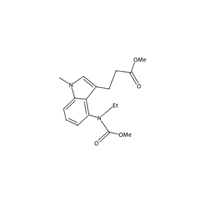 CCN(C(=O)OC)c1cccc2c1c(CCC(=O)OC)cn2C